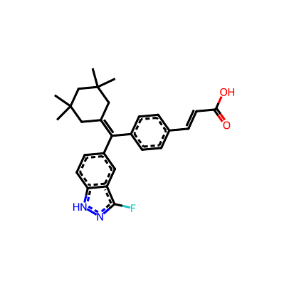 CC1(C)CC(=C(c2ccc(/C=C/C(=O)O)cc2)c2ccc3[nH]nc(F)c3c2)CC(C)(C)C1